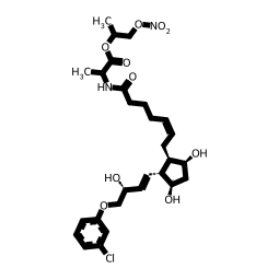 CC(CO[N+](=O)[O-])OC(=O)C(C)NC(=O)CCC/C=C\C[C@@H]1[C@@H](/C=C/[C@@H](O)COc2cccc(Cl)c2)[C@H](O)C[C@@H]1O